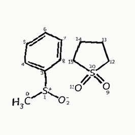 C[S+]([O-])c1ccccc1.O=S1(=O)CCCC1